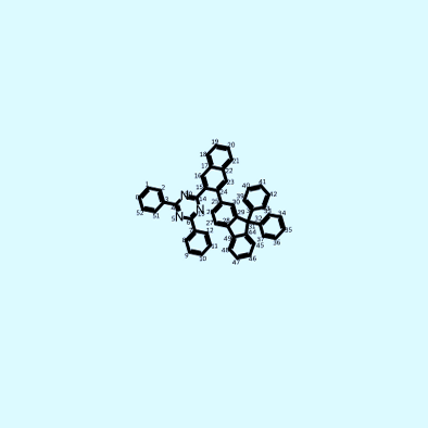 c1ccc(-c2nc(-c3ccccc3)nc(-c3cc4ccccc4cc3-c3ccc4c(c3)C(c3ccccc3)(c3ccccc3)c3ccccc3-4)n2)cc1